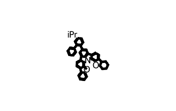 CC(C)c1ccc(-c2cc3c4ccc5c(c4n4c3c(c2)c2ccc3c6ccccc6oc3c24)OC2CCCCC52)c(-c2ccccc2)c1